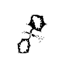 O=P([O-])(c1ccccc1)c1ccccc1.[Cu+]